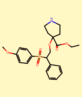 CCOC(=O)C1(OCC(c2ccccc2)S(=O)(=O)c2ccc(OC)cc2)CCNCC1